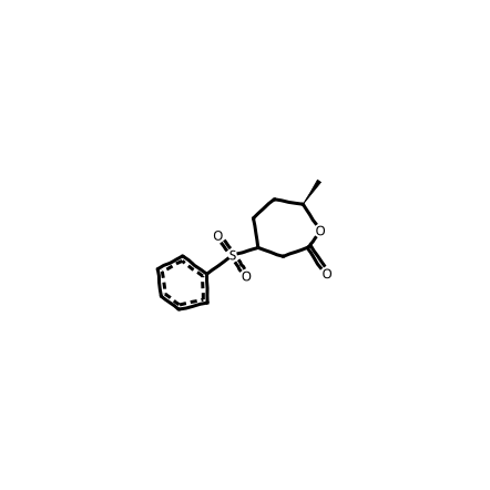 C[C@@H]1CCC(S(=O)(=O)c2ccccc2)CC(=O)O1